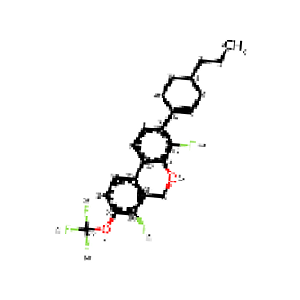 CCCC1CC=C(c2ccc3c(c2F)OCc2c-3ccc(OC(F)(F)F)c2F)CC1